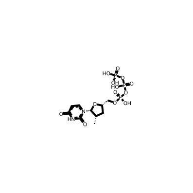 C[C@H]1C[C@@H](COP(=O)(O)OP(=O)(O)OP(=O)(O)O)O[C@H]1n1ccc(=O)[nH]c1=O